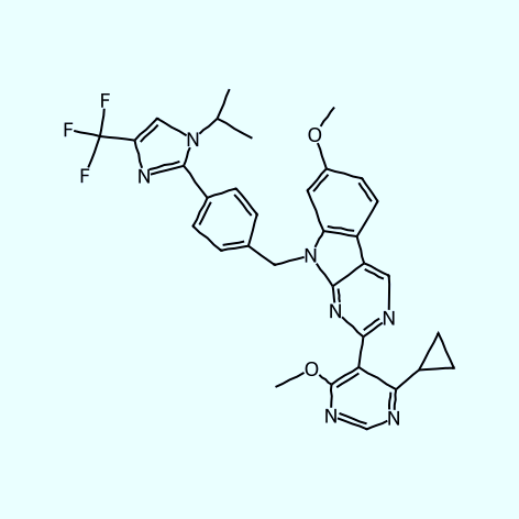 COc1ccc2c3cnc(-c4c(OC)ncnc4C4CC4)nc3n(Cc3ccc(-c4nc(C(F)(F)F)cn4C(C)C)cc3)c2c1